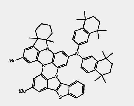 CC(C)(C)c1cc2c3c(c1)C1(C)CCCCC1(C)N3c1cc(N(c3ccc4c(c3)C(C)(C)CCC4(C)C)c3ccc4c(c3)C(C)(C)CCC4(C)C)cc3c1B2c1cc(C(C)(C)C)cc2c4sc5ccccc5c4n-3c12